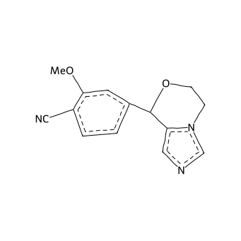 COc1cc(C2OCCn3cncc32)ccc1C#N